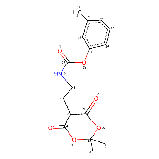 CC1(C)OC(=O)C(CCNC(=O)Oc2cccc(C(F)(F)F)c2)C(=O)O1